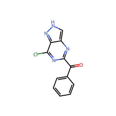 O=C(c1ccccc1)c1nc(Cl)c2n[nH]cc2n1